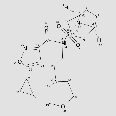 O=C(N[C@@H]1C[C@H]2CC[C@@H](C1)N2S(=O)(=O)CCCN1CCOCC1)c1cc(C2CC2)on1